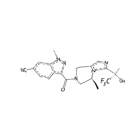 C[C@H]1CN(C(=O)c2nn(C)c3cc(C#N)ccc23)Cc2cnc([C@@](C)(O)C(F)(F)F)n21